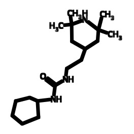 CC1(C)CC(CCNC(=O)NC2CCCCC2)CC(C)(C)N1